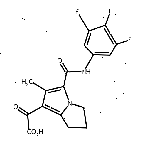 Cc1c(C(=O)C(=O)O)c2n(c1C(=O)Nc1cc(F)c(F)c(F)c1)CCC2